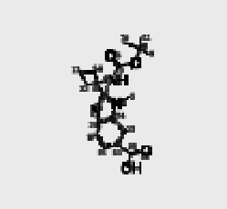 Cn1c(C2(NC(=O)OC(C)(C)C)CCC2)nc2ccc(C(=O)O)cc21